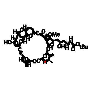 C=C1C2C[C@@H]3O[C@H](C[C@H](O)CNNC(=O)OC(C)(C)C)[C@H](OC)[C@H]3C(C)C(=O)C[C@H]3CC[C@@H]4O[C@@H]5C[C@@H](O[C@@]6(CC[C@H]7CC(=C)[C@H](CC[C@@H](C[C@H]1C)O2)O7)C[C@@H](O)[C@@H]5O6)[C@H]4O3